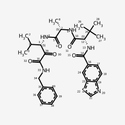 CC(C)[C@H](NC(=O)[C@H](C)NC(=O)[C@@H](NC(=O)c1ccc2ncsc2c1)C(C)(C)C)C(=O)C(=O)NCc1ccccc1